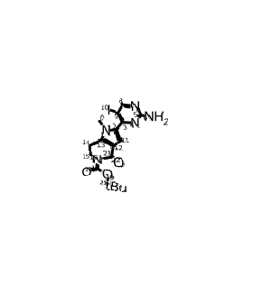 Cn1c(-c2nc(N)ncc2I)cc2c1CCN(C(=O)OC(C)(C)C)C2=O